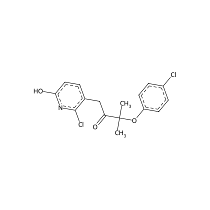 CC(C)(Oc1ccc(Cl)cc1)C(=O)Cc1ccc(O)nc1Cl